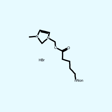 Br.CCCCCCCCCCCCCC(=O)OCN1C=CN(C)C1